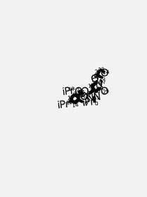 Cc1nc(OS(=O)(=O)c2c(C(C)C)cc(C(C)C)cc2C(C)C)c2cc(O[C@@H]3CCOC3)n(C)c(=O)c2n1